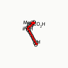 COc1cc(C(=O)N(C)[C@@H](C)C(=O)O)ccc1NC(=O)OCc1ccc(NC(=O)[C@H](C)NC(=O)[C@@H](NC(=O)CCOCCOCCOCCOCCOCCOCCOCCOCCNC(=O)CCN2C(=O)C=CC2=O)C(C)C)cc1